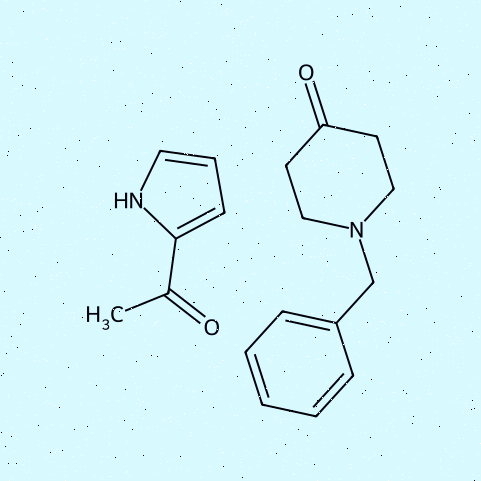 CC(=O)c1ccc[nH]1.O=C1CCN(Cc2ccccc2)CC1